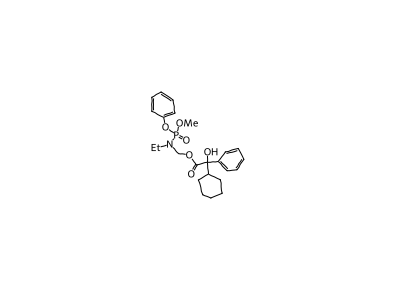 CCN(COC(=O)C(O)(c1ccccc1)C1CCCCC1)P(=O)(OC)Oc1ccccc1